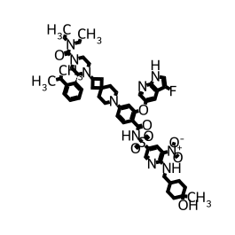 CCN(CC)C(=O)N1CCN(C2CC3(CCN(c4ccc(C(=O)NS(=O)(=O)c5cnc(NCC6CCC(C)(O)CC6)c([N+](=O)[O-])c5)c(Oc5cnc6[nH]cc(F)c6c5)c4)CC3)C2)[C@H](c2ccccc2C(C)C)C1